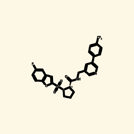 O=C(NCc1cncc(-c2ccc(C(F)(F)F)cc2)c1)[C@@H]1CCCN1S(=O)(=O)c1cc2cc(F)ccc2o1